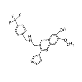 COc1cc2nc(-c3ccsc3)c(CNCc3ccc(C(F)(F)F)cc3)cc2cc1O